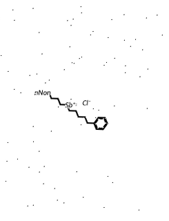 CCCCCCCCCCC[CH2][Sb+][CH2]CCCCc1ccccc1.[Cl-]